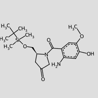 COc1cc(C(=O)N2CC(=O)C[C@H]2CO[Si](C)(C)C(C)(C)C)c(N)cc1O